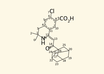 CC1(C)Cc2cc(Cl)c(C(=O)O)cc2/C(=C/C(=O)C23CC4CC(CC(C4)C2)C3)N1